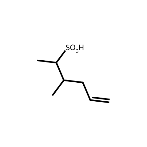 C=CCC(C)C(C)S(=O)(=O)O